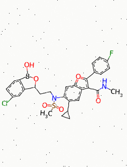 CNC(=O)c1c(-c2ccc(F)cc2)oc2cc(N(CCC3OB(O)c4ccc(Cl)cc43)S(C)(=O)=O)c(C3CC3)cc12